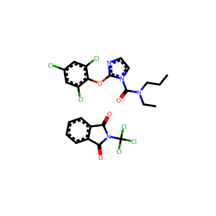 CCCN(CC)C(=O)n1ccnc1Oc1c(Cl)cc(Cl)cc1Cl.O=C1c2ccccc2C(=O)N1C(Cl)(Cl)Cl